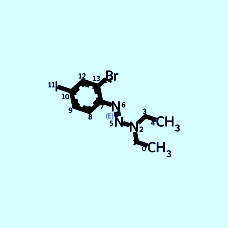 CCN(CC)/N=N/c1ccc(I)cc1Br